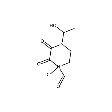 CC(O)N1CC[N+](Cl)(C=O)C(=O)C1=O